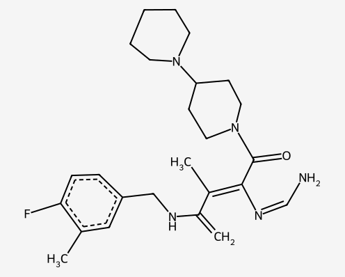 C=C(NCc1ccc(F)c(C)c1)/C(C)=C(\N=C/N)C(=O)N1CCC(N2CCCCC2)CC1